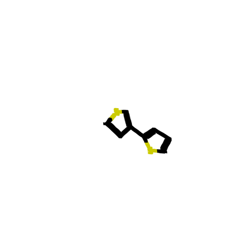 [c]1cc(-c2cc[c]s2)cs1